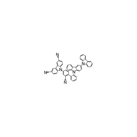 N#Cc1ccc2c(c1)c1cc(C#N)ccc1n2-c1ccc(-c2ccccc2-n2c3ccccc3c3cc(-n4c5ccccc5c5ccccc54)ccc32)c(C#N)c1